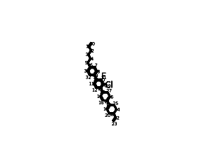 C=CCCCCc1ccc(-c2ccc(C3C=CC(C4=CCC(C=C)CC4)=CC3)c(Cl)c2F)cc1